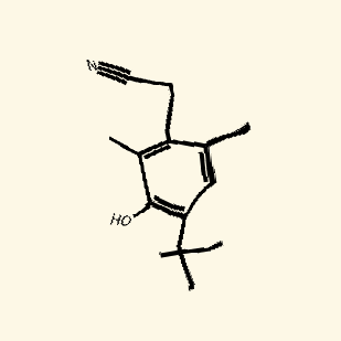 Cc1cc(C(C)(C)C)c(O)c(C)c1CC#N